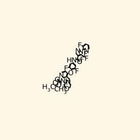 CC(C)(C)OC(=O)Nc1nccc(Oc2c(F)cc(NC(=O)c3cnn(-c4ncccc4F)c3C(F)(F)F)cc2F)c1CN1CCOCC1